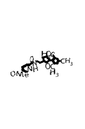 COc1cccc(C(=O)NCCC2CC(=O)C(c3c(C)cc(C)cc3C)C2=O)n1